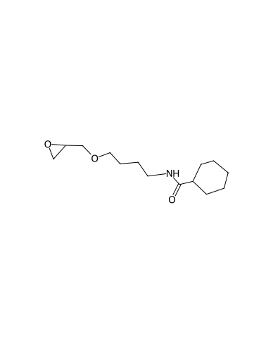 O=C(NCCCCOCC1CO1)C1CCCCC1